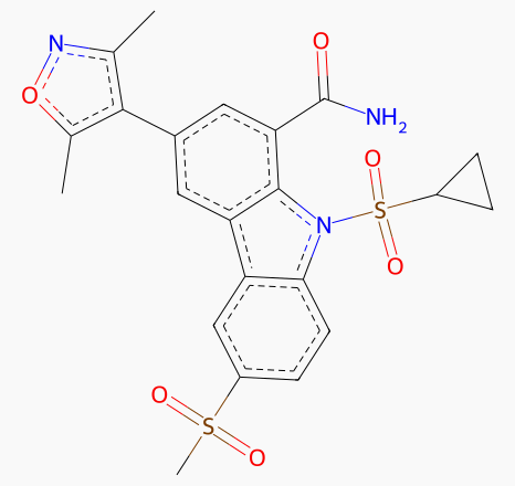 Cc1noc(C)c1-c1cc(C(N)=O)c2c(c1)c1cc(S(C)(=O)=O)ccc1n2S(=O)(=O)C1CC1